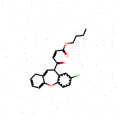 CCCCOC(=O)/C=C\C(=O)C1C=C2CC=CC=C2Oc2ccc(Cl)cc21